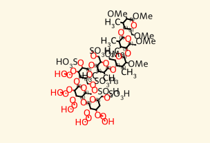 COCC1O[C@@H](O[C@H]2C(C)C(C)[C@@H](O[C@H]3C(C)C(OC)[C@H](OC)O[C@H]3COC)O[C@H]2COC)C(OC)[C@@H](C)[C@@H]1O[C@@H]1OC(COS(=O)(=O)O)[C@@H](O[C@@H]2O[C@@H](COS(=O)(=O)O)[C@@H](O[C@H]3O[C@@H](COS(=O)(=O)O)[C@H](O[C@H]4O[C@@H](COS(=O)(=O)O)CC(OOO)C4OOO)C(OOO)C3OOO)C(OOO)C2OS(=O)(=O)O)[C@H](C)C1C